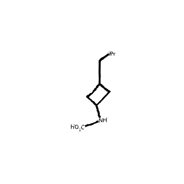 CC(C)CC1CC(NC(=O)O)C1